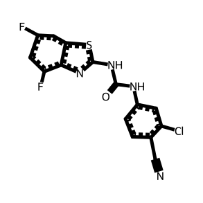 N#Cc1ccc(NC(=O)Nc2nc3c(F)cc(F)cc3s2)cc1Cl